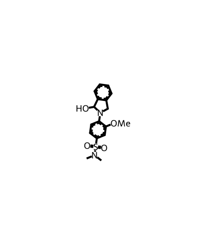 COc1cc(S(=O)(=O)N(C)C)ccc1N1Cc2ccccc2C1O